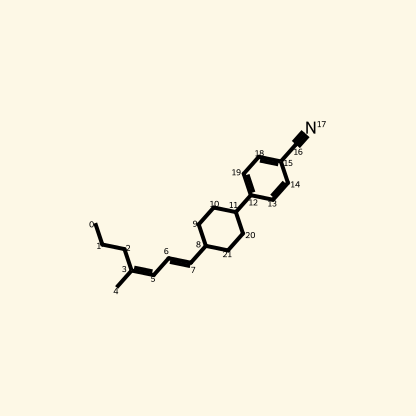 CCCC(C)=CC=CC1CCC(c2ccc(C#N)cc2)CC1